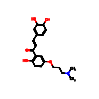 CN(C)CCCOc1ccc(O)c(C(=O)/C=C/c2ccc(O)c(O)c2)c1